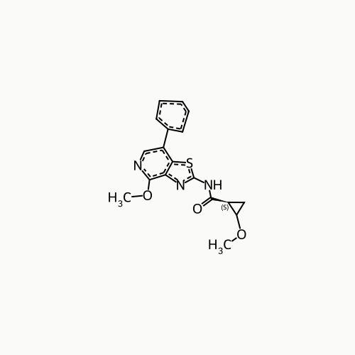 COc1ncc(-c2ccccc2)c2sc(NC(=O)[C@H]3CC3OC)nc12